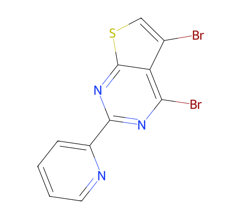 Brc1csc2nc(-c3ccccn3)nc(Br)c12